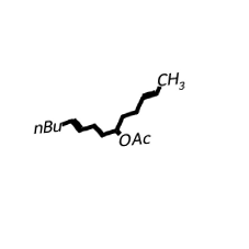 CC=CCCC(CC/C=C/CCCC)OC(C)=O